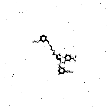 COc1cccc(COCCOCc2coc(N(Cc3cccc(OC)c3)Cc3cccc(N(C)C)c3)n2)c1